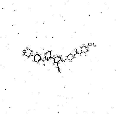 CN1CCN(CC(=O)N2CCC(Oc3ccc(-c4ccnc(Nc5ccc(N6CCOCC6)cc5)n4)cc3C#N)CC2)CC1